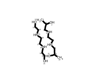 CC(O)CNCCNCC(C)O.OCCNCCNCCO